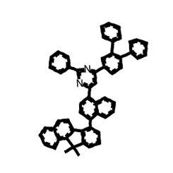 CC1(C)c2cccc(-c3ccc(-c4cc(-c5ccc(-c6ccccc6)c(-c6ccccc6)c5)nc(-c5ccccc5)n4)c4ccccc34)c2-c2ccc3ccccc3c21